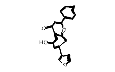 O=c1cc(-c2ccccc2)oc2cc(-c3ccoc3)cc(O)c12